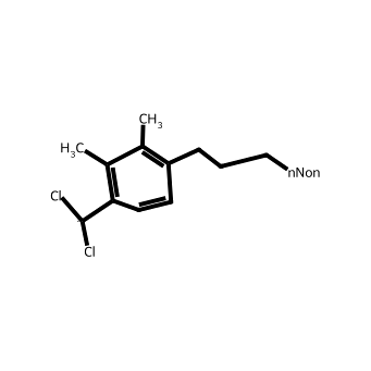 CCCCCCCCCCCCc1ccc([C](Cl)Cl)c(C)c1C